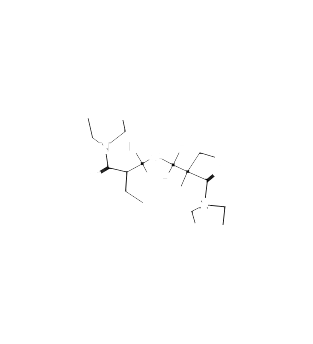 CCC(C(=O)N(CC)CC)C(F)(F)OC(F)(F)C(C)(CC)C(=O)N(CC)CC